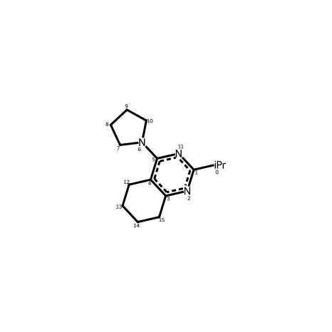 CC(C)c1nc2c(c(N3CCCC3)n1)CCCC2